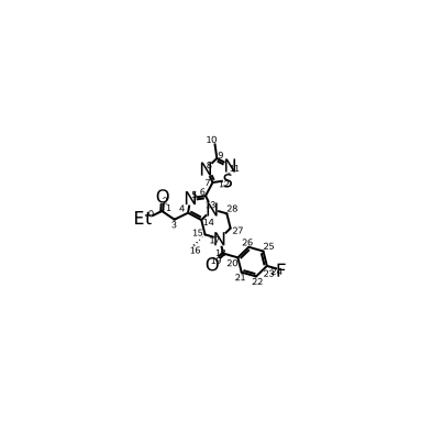 CCC(=O)Cc1nc(-c2nc(C)ns2)n2c1[C@@H](C)N(C(=O)c1ccc(F)cc1)CC2